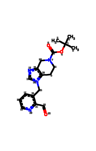 CC(C)(C)OC(=O)N1CCc2c(ncn2Cc2cccnc2C=O)C1